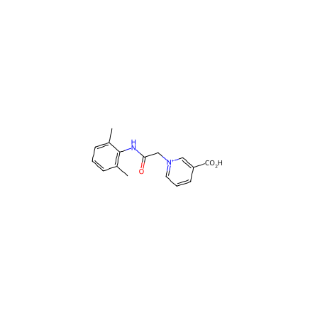 Cc1cccc(C)c1NC(=O)C[n+]1cccc(C(=O)O)c1